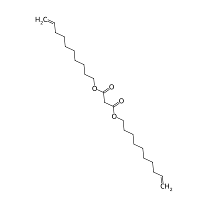 C=CCCCCCCCCOC(=O)CC(=O)OCCCCCCCCC=C